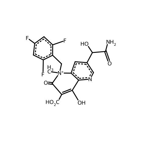 C[N+]1(Cc2c(F)cc(F)cc2F)C(=O)C(C(=O)O)=C(O)c2ncc(C(O)C(N)=O)cc21